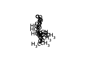 COC(=O)OC(C)OP(=O)(OC(C)OC(=O)OC(C)C)OP(=O)(O)OC[C@H]1O[C@@H](n2ccc(=O)n(Cc3noc4ccccc34)c2=O)[C@@H](O)C1O